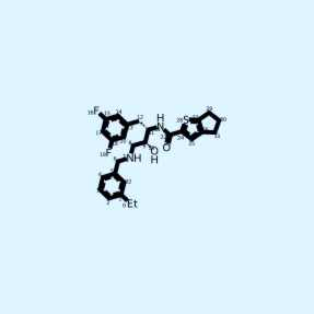 CCc1cccc(CNC[C@@H](O)[C@H](Cc2cc(F)cc(F)c2)NC(=O)c2cc3c(s2)CCC3)c1